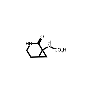 O=C(O)NC12CC1CCNC2=O